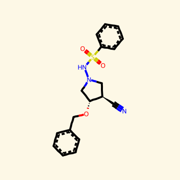 N#C[C@@H]1CN(NS(=O)(=O)c2ccccc2)C[C@H]1OCc1ccccc1